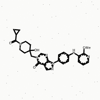 COc1ncccc1Nc1ccc(-n2ncc3c(=O)n(CC4(O)CCN(C(=O)C5CC5)CC4)cnc32)cc1